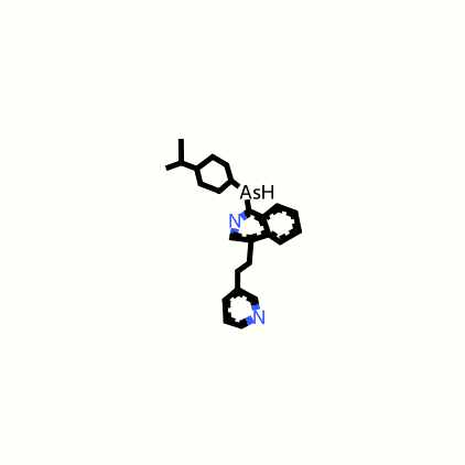 CC(C)C1CCC([AsH]c2ncc(CCc3cccnc3)c3ccccc23)CC1